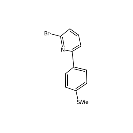 CSc1ccc(-c2cccc(Br)n2)cc1